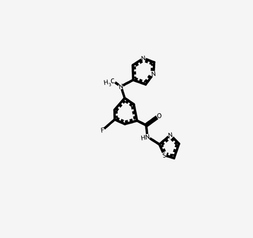 CN(c1cncnc1)c1cc(F)cc(C(=O)Nc2nccs2)c1